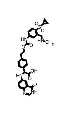 CNCc1cc(NC(=O)OCCc2ccc(C(Nc3ccc4nc[nH]c(=O)c4c3)C(=O)O)cc2)ccc1S(=O)(=O)C1CC1